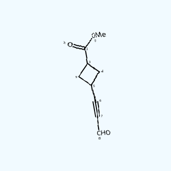 COC(=O)C1CC(C#CC=O)C1